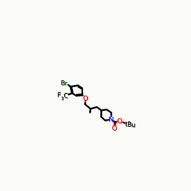 CC(COc1ccc(Br)c(C(F)(F)F)c1)CC1CCN(C(=O)OC(C)(C)C)CC1